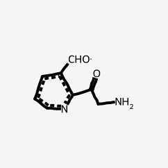 NCC(=O)c1ncccc1[C]=O